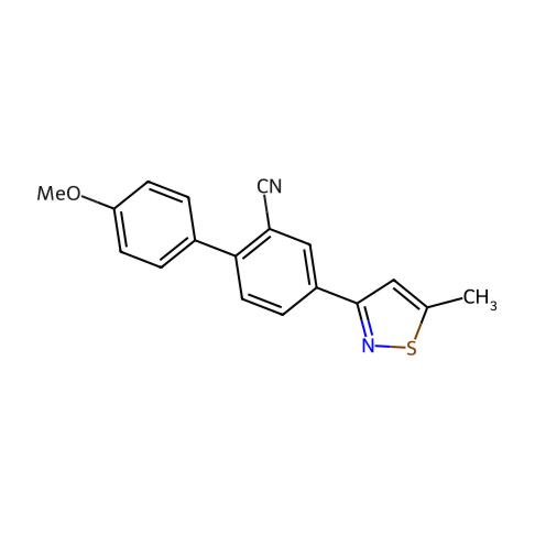 COc1ccc(-c2ccc(-c3cc(C)sn3)cc2C#N)cc1